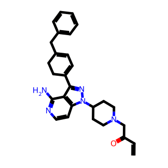 C=CC(=O)CN1CCC(n2nc(C3=CC=C(Cc4ccccc4)CC3)c3c(N)nccc32)CC1